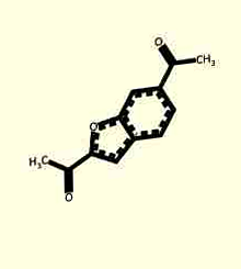 CC(=O)c1ccc2cc(C(C)=O)oc2c1